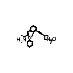 CC(=O)N1CC(C#Cc2cccc3c2CN(c2ccccc2)C([C@H](C)N)=C3)C1